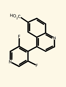 O=C(O)c1ccc2nccc(-c3c(F)cncc3F)c2c1